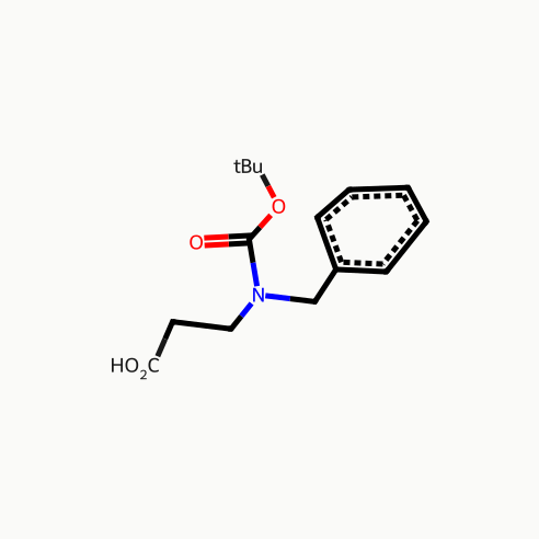 CC(C)(C)OC(=O)N(CCC(=O)O)Cc1ccccc1